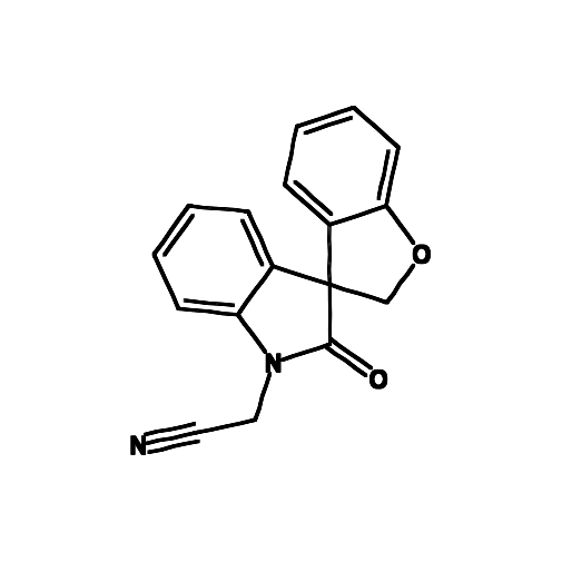 N#CCN1C(=O)C2(COc3ccccc32)c2ccccc21